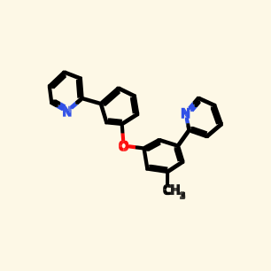 Cc1cc(Oc2cccc(-c3ccccn3)c2)cc(-c2ccccn2)c1